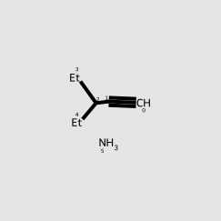 C#CC(CC)CC.N